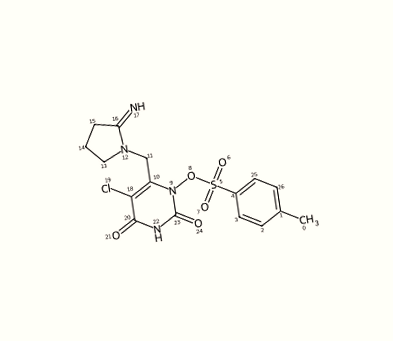 Cc1ccc(S(=O)(=O)On2c(CN3CCCC3=N)c(Cl)c(=O)[nH]c2=O)cc1